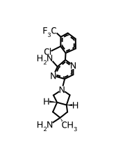 C[C@@]1(N)C[C@H]2CN(c3cnc(-c4cccc(C(F)(F)F)c4Cl)c(N)n3)C[C@H]2C1